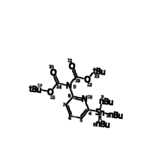 CCC[CH2][Sn]([CH2]CCC)([CH2]CCC)[c]1cccc(N(C(=O)OC(C)(C)C)C(=O)OC(C)(C)C)n1